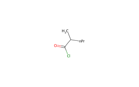 CCCC(C)C(=O)Cl